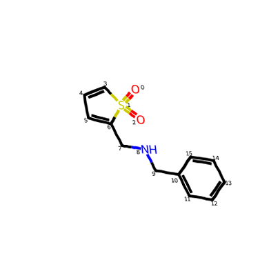 O=S1(=O)C=CC=C1CNCc1ccccc1